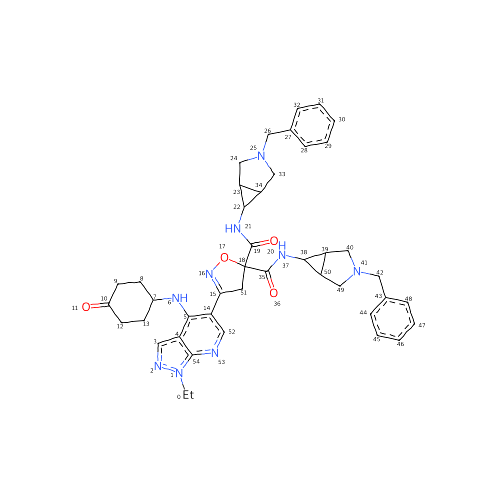 CCn1ncc2c(NC3CCC(=O)CC3)c(C3=NOC(C(=O)NC4C5CN(Cc6ccccc6)CC54)(C(=O)NC4C5CN(Cc6ccccc6)CC54)C3)cnc21